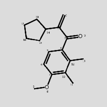 C=C(C(=O)c1ccc(OC)c(C)c1C)C1CCCC1